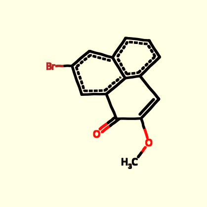 COC1=Cc2cccc3cc(Br)cc(c23)C1=O